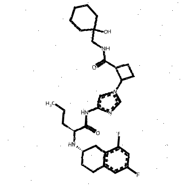 CCC[C@H](N[C@H]1CCc2cc(F)cc(F)c2C1)C(=O)Nc1cn(C2CCC2C(=O)NCC2(O)CCCCC2)cn1